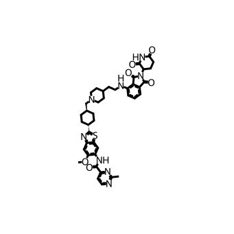 COc1cc2nc([C@H]3CC[C@H](CN4CCC(CCNc5cccc6c5C(=O)N(C5CCC(=O)NC5=O)C6=O)CC4)CC3)sc2cc1NC(=O)c1ccnc(C)n1